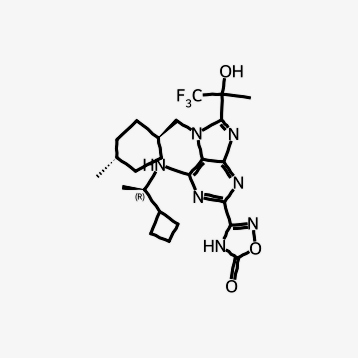 C[C@@H](Nc1nc(-c2noc(=O)[nH]2)nc2nc(C(C)(O)C(F)(F)F)n(C[C@H]3CC[C@H](C)CC3)c12)C1CCC1